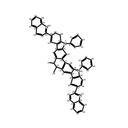 CC1c2cc3c4c(n(-c5ccccc5)c3cc2-c2cc3c(cc2C1C)c1cc(-c2ccc5ccccc5n2)ccc1n3-c1ccccc1)CCC(c1ccc2ccccc2n1)=C4